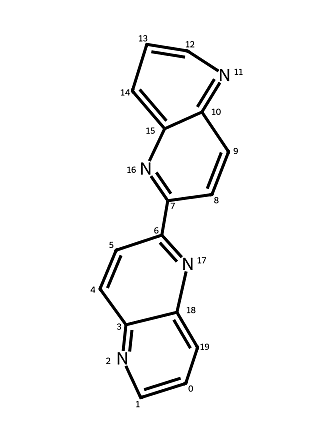 c1cnc2ccc(-c3ccc4ncccc4n3)nc2c1